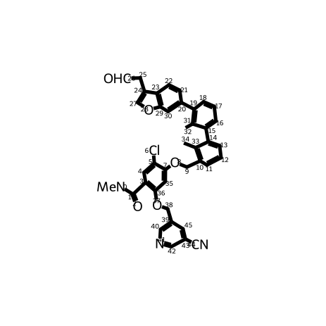 CNC(=O)c1cc(Cl)c(OCc2cccc(-c3cccc(-c4ccc5c(CC=O)coc5c4)c3C)c2C)cc1OCc1cncc(C#N)c1